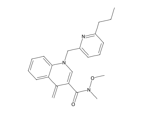 C=C1C(C(=O)N(C)OC)=CN(Cc2cccc(CCC)n2)c2ccccc21